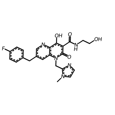 Cn1ccnc1Cn1c(=O)c(C(=O)NCCO)c(O)c2ncc(Cc3ccc(F)cc3)cc21